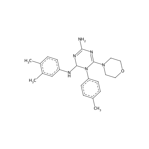 Cc1ccc(N2C(N3CCOCC3)=NC(N)=NC2Nc2ccc(C)c(C)c2)cc1